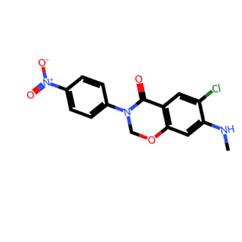 CNc1cc2c(cc1Cl)C(=O)N(c1ccc([N+](=O)[O-])cc1)CO2